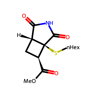 CCCCCCS[C@]12C(=O)NC(=O)[C@H]1C[C@@H]2C(=O)OC